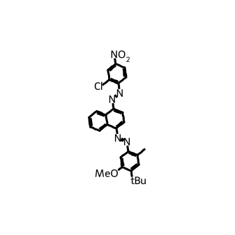 COc1cc(N=Nc2ccc(N=Nc3ccc([N+](=O)[O-])cc3Cl)c3ccccc23)c(C)cc1C(C)(C)C